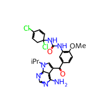 COc1ccc(C(=O)c2cn(C(C)C)c3ncnc(N)c23)cc1NC(=O)NC1(Cl)C=CC(Cl)=CC1